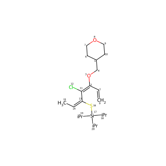 C=C/C(OCC1CCOCC1)=C(Cl)\C(=C/C)S[Si](C(C)C)(C(C)C)C(C)C